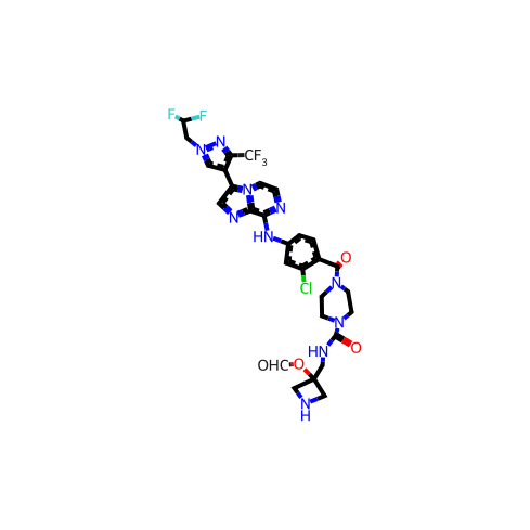 O=COC1(CNC(=O)N2CCN(C(=O)c3ccc(Nc4nccn5c(-c6cn(CC(F)F)nc6C(F)(F)F)cnc45)cc3Cl)CC2)CNC1